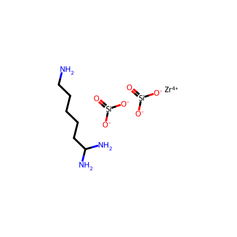 NCCCCCC(N)N.O=[Si]([O-])[O-].O=[Si]([O-])[O-].[Zr+4]